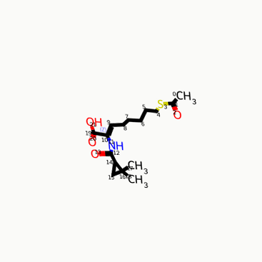 CC(=O)SCCCCC/C=C(\NC(=O)C1CC1(C)C)C(=O)O